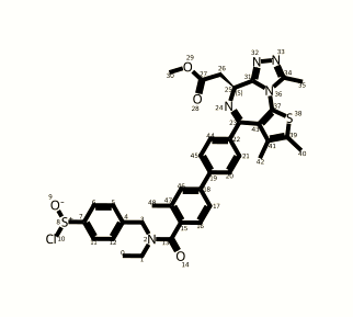 CCN(Cc1ccc([S+]([O-])Cl)cc1)C(=O)c1ccc(-c2ccc(C3=N[C@@H](CC(=O)OC)c4nnc(C)n4-c4sc(C)c(C)c43)cc2)cc1C